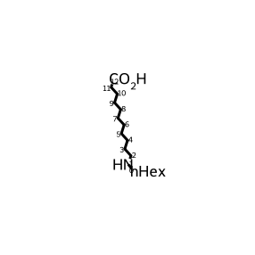 CCCCCCNCCCCCCCCCCC(=O)O